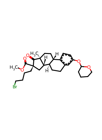 COC(=O)[C@@]1(CCCCBr)C[C@H]2[C@@H]3CCc4cc(OC5CCCCO5)ccc4[C@H]3CC[C@]2(C)C1=O